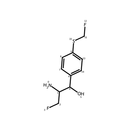 NC(CF)C(O)c1ccc(SCF)cc1